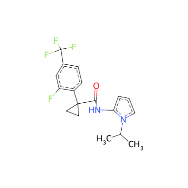 CC(C)n1cccc1NC(=O)C1(c2ccc(C(F)(F)F)cc2F)CC1